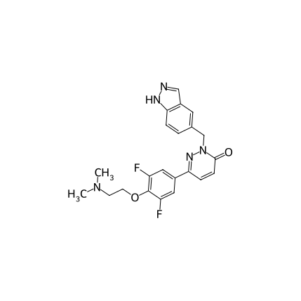 CN(C)CCOc1c(F)cc(-c2ccc(=O)n(Cc3ccc4[nH]ncc4c3)n2)cc1F